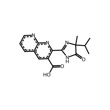 CC(C)C1(C)N=C(c2nc3ncccc3cc2C(=O)O)NC1=O